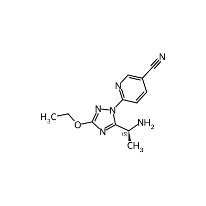 CCOc1nc([C@H](C)N)n(-c2ccc(C#N)cn2)n1